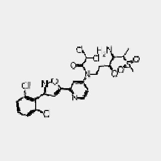 C[C@H](C(N)C(=O)CCN(C(=O)C(Cl)Cl)c1ccnc(-c2cc(-c3c(Cl)cccc3Cl)no2)c1)S(C)(=O)=O